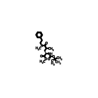 COC(=O)[C@H](CC(C)C(=O)N(C)CCc1ccccc1)NC(=O)OC(C)(C)C